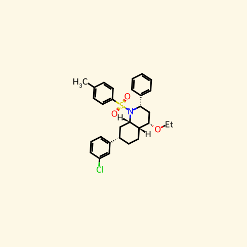 CCO[C@H]1C[C@@H](c2ccccc2)N(S(=O)(=O)c2ccc(C)cc2)[C@H]2C[C@@H](c3cccc(Cl)c3)CC[C@@H]12